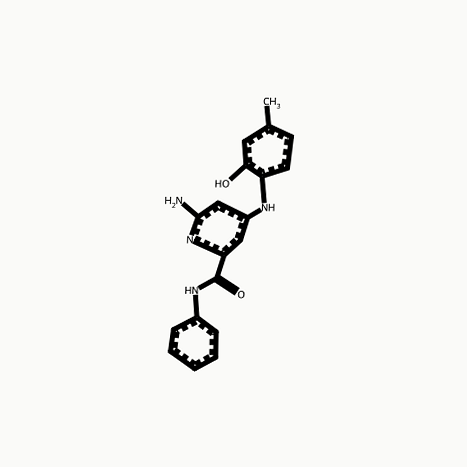 Cc1ccc(Nc2cc(N)nc(C(=O)Nc3ccccc3)c2)c(O)c1